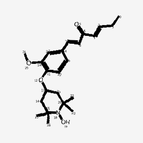 CC/C=C/C(=O)/C=C/c1ccc(OC2CC(C)(C)N(O)C(C)(C)C2)c(OC)c1